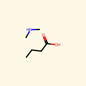 CCCC(=O)O.CNC